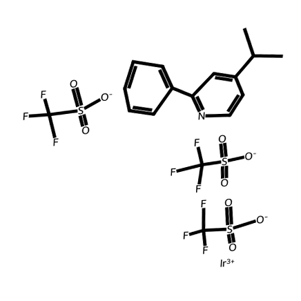 CC(C)c1ccnc(-c2ccccc2)c1.O=S(=O)([O-])C(F)(F)F.O=S(=O)([O-])C(F)(F)F.O=S(=O)([O-])C(F)(F)F.[Ir+3]